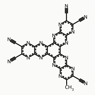 Cc1nc2nc3c(nc2nc1C#N)c1nc2nc(C#N)c(C#N)nc2nc1c1nc2nc(C#N)c(C#N)nc2nc31